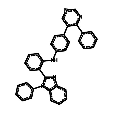 c1ccc(-c2ncncc2-c2ccc(Nc3ccccc3-c3nc4ccccc4n3-c3ccccc3)cc2)cc1